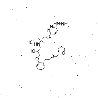 CC(C)(COc1ccc(NN)nn1)NCC(O)COc1ccccc1CCOCC1CCCO1.Cl